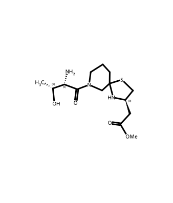 COC(=O)C[C@@H]1CSC2(CCCN(C(=O)[C@@H](N)[C@@H](C)O)C2)N1